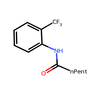 CCCCCC(=O)Nc1ccccc1C(F)(F)F